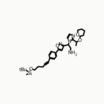 CC(OC1CCCCO1)c1nccn1C(CN)c1cc(-c2ccc(C#CCCCO[Si](C)(C)C(C)(C)C)cc2)on1